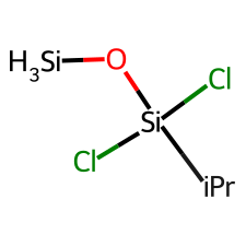 CC(C)[Si](Cl)(Cl)O[SiH3]